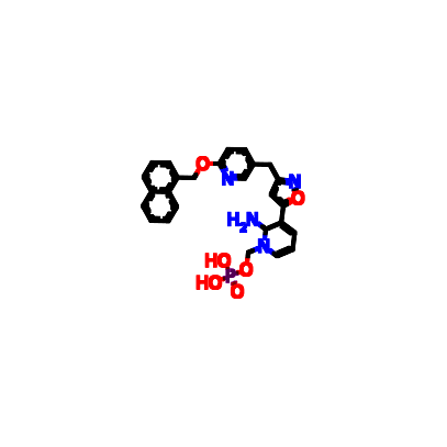 NC1C(c2cc(Cc3ccc(OCc4cccc5ccccc45)nc3)no2)=CC=CN1COP(=O)(O)O